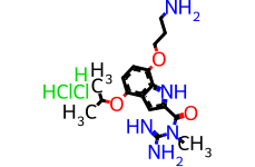 CC(C)Oc1ccc(OCCCN)c2[nH]c(C(=O)N(C)C(=N)N)cc12.Cl.Cl